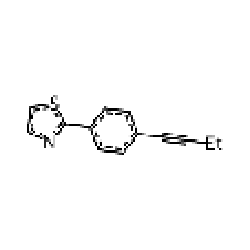 CCC#Cc1ccc(-c2nccs2)cc1